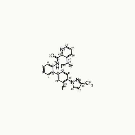 O=C(Nc1ccccc1-c1ccc(-n2ccc(C(F)(F)F)n2)c(F)c1)c1ncccc1C(F)F